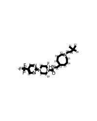 C[C@@H]1CN(c2ncc(C(F)(F)F)cn2)C[C@H](C)N1C(=O)NCC1CCCN(CCC(C)(C)C)CCC1